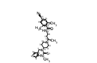 CNC(=S)N(Cc1ccsc1)C1CCN([C@H](C)CCNC(=O)c2c(C)cc(C#N)cc2C)CC1